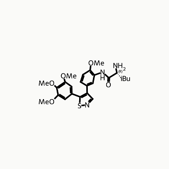 CCC(C)[C@@H](N)C(=O)Nc1cc(-c2cnsc2-c2cc(OC)c(OC)c(OC)c2)ccc1OC